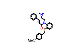 COc1ccc(CSc2ccccc2N(CCN(C)C)C(=O)/C=C/c2ccccc2)cc1